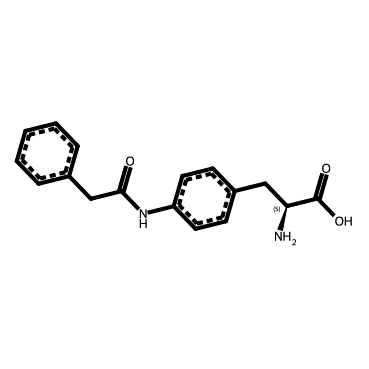 N[C@@H](Cc1ccc(NC(=O)Cc2ccccc2)cc1)C(=O)O